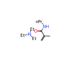 C=C(C)C(=O)NCCC.CCN(CC)CC